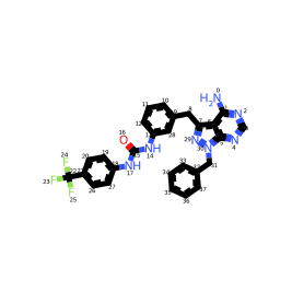 Nc1ncnc2c1c(Cc1cccc(NC(=O)Nc3ccc(C(F)(F)F)cc3)c1)nn2Cc1ccccc1